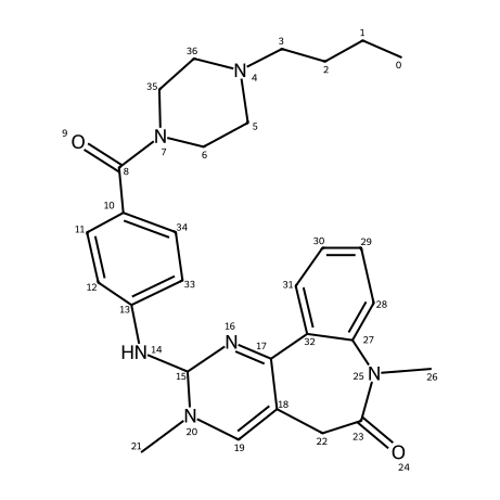 CCCCN1CCN(C(=O)c2ccc(NC3N=C4C(=CN3C)CC(=O)N(C)c3ccccc34)cc2)CC1